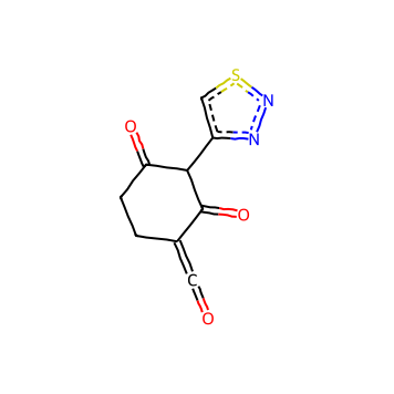 O=C=C1CCC(=O)C(c2csnn2)C1=O